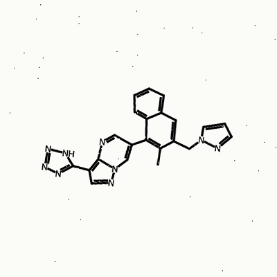 Cc1c(Cn2cccn2)cc2ccccc2c1-c1cnc2c(-c3nnn[nH]3)cnn2c1